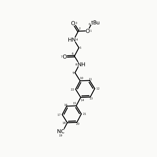 CC(C)(C)OC(=O)NCC(=O)NCc1cccc(-c2ccc(C#N)cc2)c1